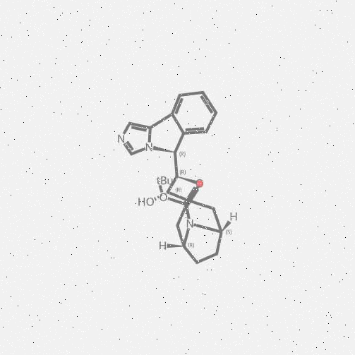 CC(C)(C)OC(=O)N1[C@@H]2CC[C@H]1CC1(C[C@H]([C@@H]3c4ccccc4-c4cncn43)[C@H]1O)C2